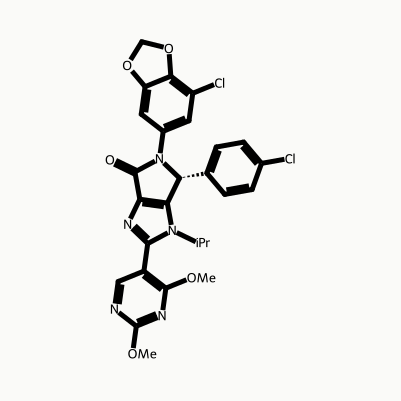 COc1ncc(-c2nc3c(n2C(C)C)[C@@H](c2ccc(Cl)cc2)N(c2cc(Cl)c4c(c2)OCO4)C3=O)c(OC)n1